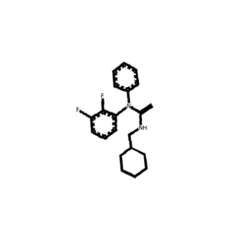 C=C(NCC1CCCCC1)N(c1ccccc1)c1cccc(F)c1F